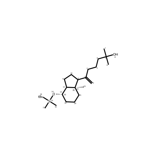 C=C(CCCC(C)(C)O)C1CCC2[C@@H](O[Si](C)(C)C(C)(C)C)CCC[C@]12C